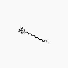 CCCCCCCCCCCCOP(=S)(S)S